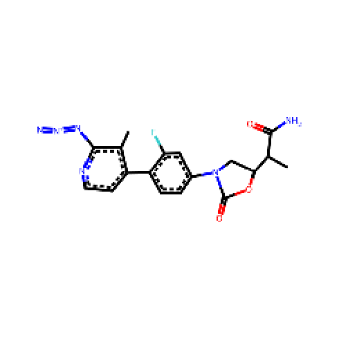 Cc1c(-c2ccc(N3CC(C(C)C(N)=O)OC3=O)cc2F)ccnc1N=[N+]=[N-]